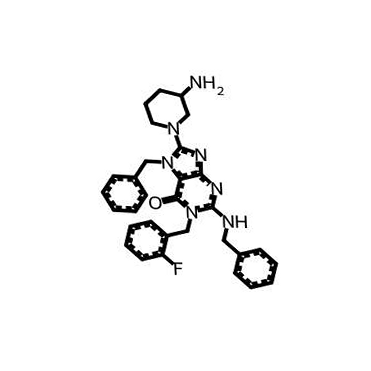 NC1CCCN(c2nc3nc(NCc4ccccc4)n(Cc4ccccc4F)c(=O)c3n2Cc2ccccc2)C1